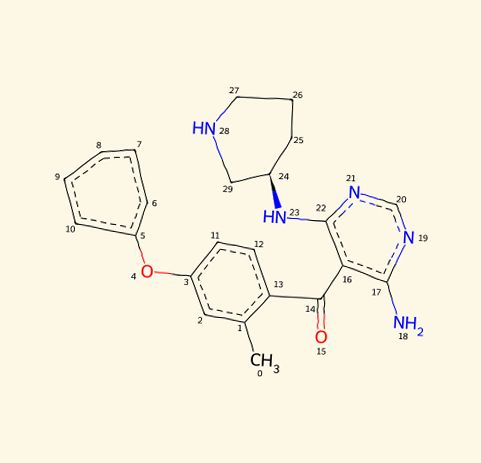 Cc1cc(Oc2ccccc2)ccc1C(=O)c1c(N)ncnc1N[C@@H]1CCCNC1